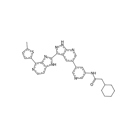 Cc1ccc(-c2nccc3[nH]c(-c4n[nH]c5ncc(-c6cncc(NC(=O)CC7CCCCC7)c6)cc45)nc23)s1